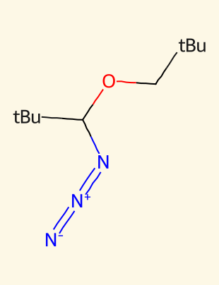 CC(C)(C)COC(N=[N+]=[N-])C(C)(C)C